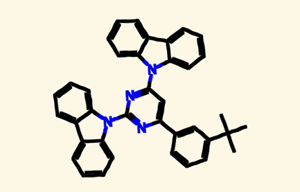 CC(C)(C)c1cccc(-c2cc(-n3c4ccccc4c4ccccc43)nc(-n3c4ccccc4c4ccccc43)n2)c1